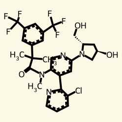 CN(C(=O)C(C)(C)c1cc(C(F)(F)F)cc(C(F)(F)F)c1)c1cnc(N2C[C@H](O)C[C@H]2CO)cc1-c1ncccc1Cl